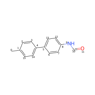 Cc1ccc(-c2ccc(N[C]=O)cc2)cc1